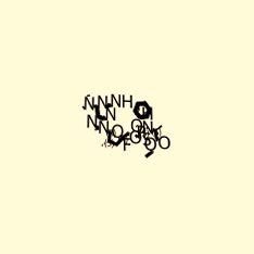 CCOC(=O)[C@H](C)N[P@](=S)(OC[C@]1(F)C[C@H](C)[C@H](n2cnc3c(N(C)C)nc(N)nc32)O1)Oc1ccccc1